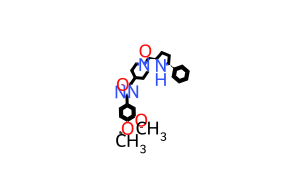 CCOc1ccc(-c2noc(C3CCN(C(=O)[C@H]4CC[C@H](c5ccccc5)N4)CC3)n2)cc1OC